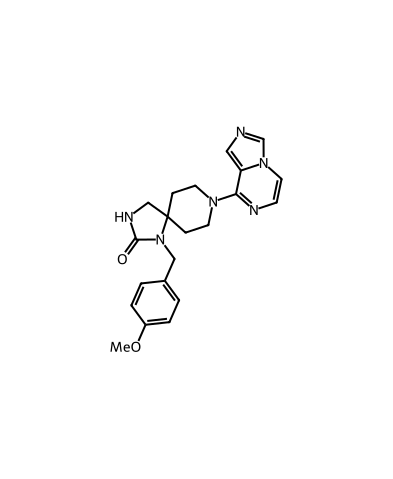 COc1ccc(CN2C(=O)NCC23CCN(c2nccn4cncc24)CC3)cc1